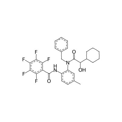 Cc1ccc(NC(=O)c2c(F)c(F)c(F)c(F)c2F)c(N(Cc2ccccc2)C(=O)C(O)C2CCCCC2)c1